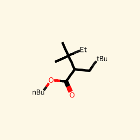 CCCCOC(=O)C(CC(C)(C)C)C(C)(C)CC